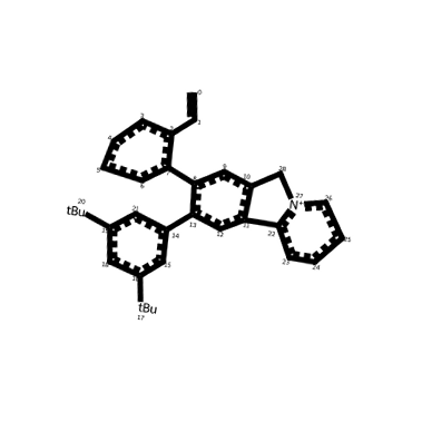 C=Cc1ccccc1-c1cc2c(cc1-c1cc(C(C)(C)C)cc(C(C)(C)C)c1)-c1cccc[n+]1C2